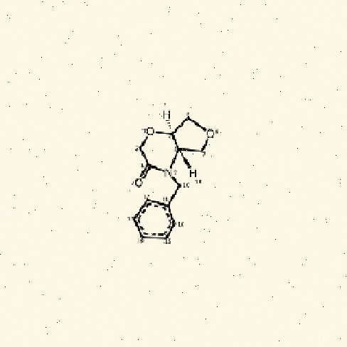 O=C1CO[C@H]2COC[C@@H]2N1Cc1ccccc1